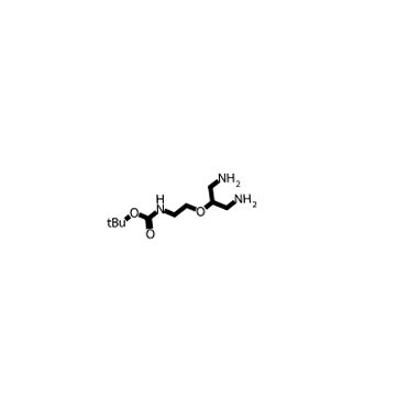 CC(C)(C)OC(=O)NCCOC(CN)CN